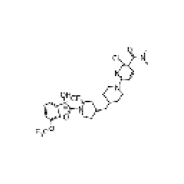 CN(C)C(=O)c1ccc(N2CCC(CC3CCN(C(=O)[C@](O)(c4cccc(OC(F)(F)F)c4)C(F)(F)F)CC3)CC2)nc1Cl